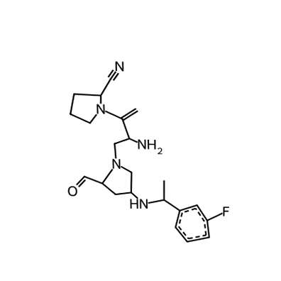 C=C(C(N)CN1CC(NC(C)c2cccc(F)c2)CC1C=O)N1CCCC1C#N